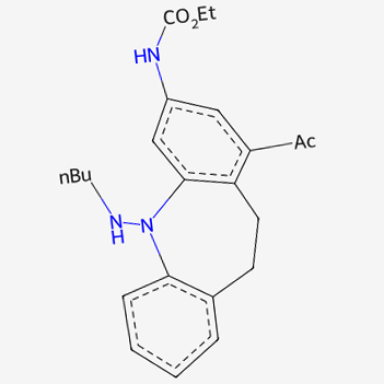 CCCCNN1c2ccccc2CCc2c(C(C)=O)cc(NC(=O)OCC)cc21